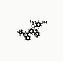 O=C(c1ccc(O)cc1O)N(Cc1cccnc1)c1ccc(-c2nc(-c3ccsc3)nc3ccccc23)cc1